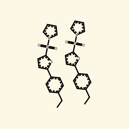 CCc1ccc(-c2ccc(S(=O)(=O)n3cccc3)s2)cc1.CCc1ccc(-c2ccc(S(=O)(=O)n3cccc3)s2)cc1